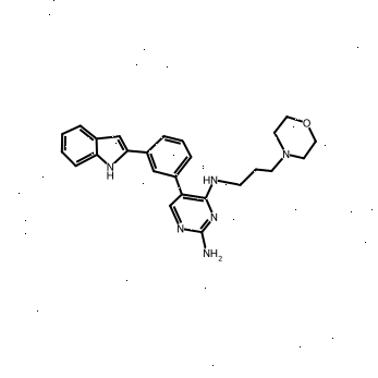 Nc1ncc(-c2cccc(-c3cc4ccccc4[nH]3)c2)c(NCCCN2CCOCC2)n1